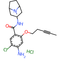 CC#CCCOc1cc(N)c(Cl)cc1C(=O)NC1CC2CCC(C1)N2C.Cl